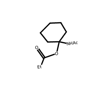 CCC(=O)OC1(NC(C)=O)CCCCC1